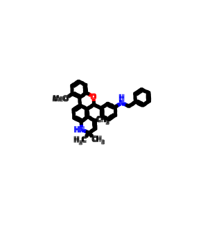 COc1cccc2c1-c1ccc3c(c1C(c1cccc(NCc4ccccc4)c1)O2)C(C)=CC(C)(C)N3